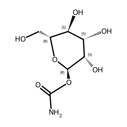 NC(=O)O[C@H]1O[C@H](CO)[C@@H](O)[C@H](O)[C@@H]1O